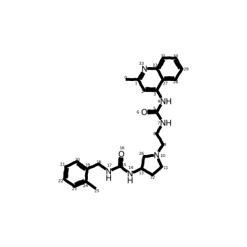 Cc1cc(NC(=O)NCCN2CCC(NC(=O)NCc3ccccc3C)C2)c2ccccc2n1